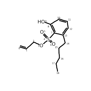 C=CCOS(=O)(=O)c1c(O)cccc1CCCCC